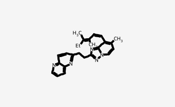 CC/C(C)=C(C)/C=C\c1c(C)ccn2nc(CCc3ccc4ncccc4n3)nc12